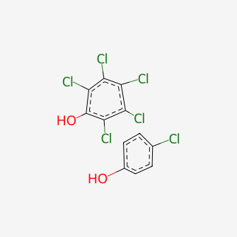 Oc1c(Cl)c(Cl)c(Cl)c(Cl)c1Cl.Oc1ccc(Cl)cc1